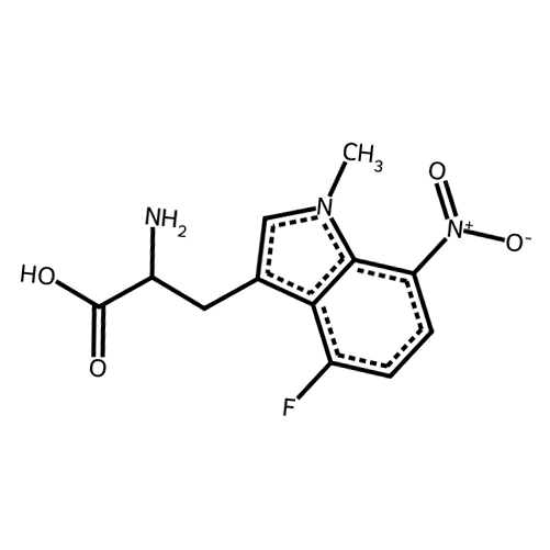 Cn1cc(CC(N)C(=O)O)c2c(F)ccc([N+](=O)[O-])c21